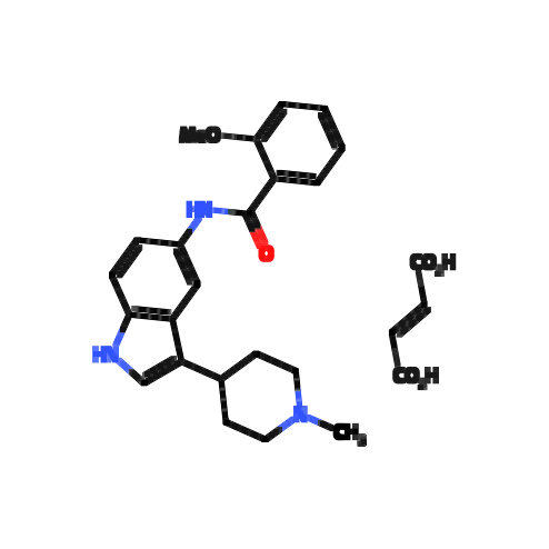 COc1ccccc1C(=O)Nc1ccc2[nH]cc(C3CCN(C)CC3)c2c1.O=C(O)C=CC(=O)O